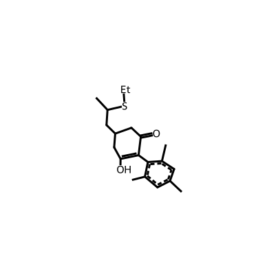 CCSC(C)CC1CC(=O)C(c2c(C)cc(C)cc2C)=C(O)C1